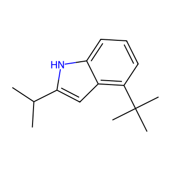 CC(C)c1cc2c(C(C)(C)C)cccc2[nH]1